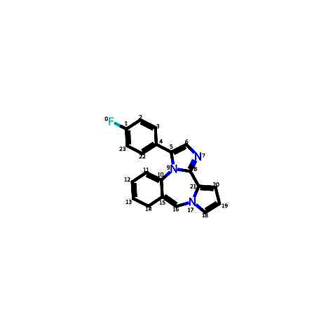 Fc1ccc(-c2cnc3n2C2=CC=CCC2=Cn2cccc2-3)cc1